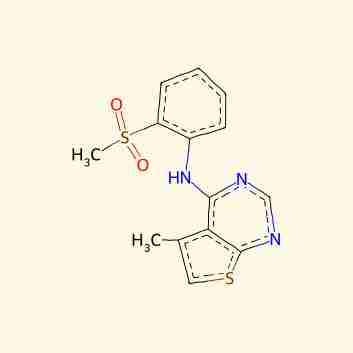 Cc1csc2ncnc(Nc3ccccc3S(C)(=O)=O)c12